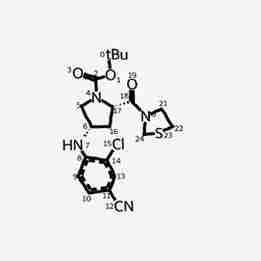 CC(C)(C)OC(=O)N1C[C@@H](Nc2ccc(C#N)cc2Cl)C[C@H]1C(=O)N1CCSC1